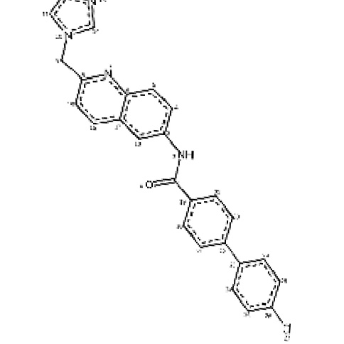 O=C(Nc1ccc2nc(Cn3ccnc3)ccc2c1)c1ccc(-c2ccc(Cl)cc2)cc1